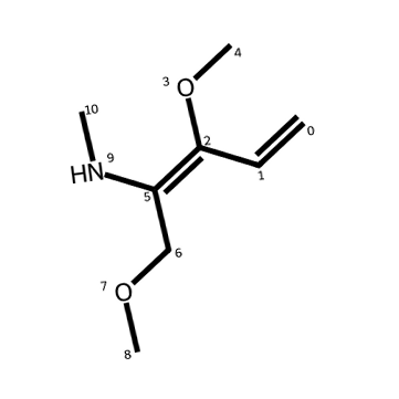 C=C/C(OC)=C(\COC)NC